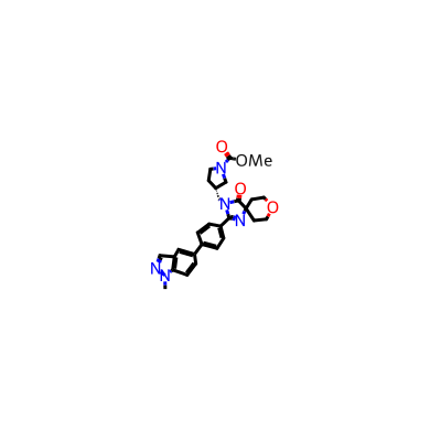 COC(=O)N1CC[C@@H](CN2C(=O)C3(CCOCC3)N=C2c2ccc(-c3ccc4c(cnn4C)c3)cc2)C1